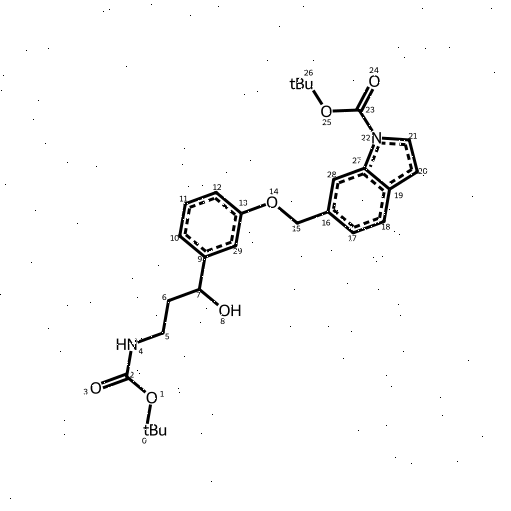 CC(C)(C)OC(=O)NCCC(O)c1cccc(OCc2ccc3ccn(C(=O)OC(C)(C)C)c3c2)c1